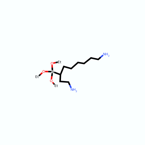 CCO[Si](OCC)(OCC)C(CCN)CCCCCCN